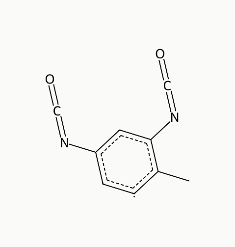 Cc1[c]cc(N=C=O)cc1N=C=O